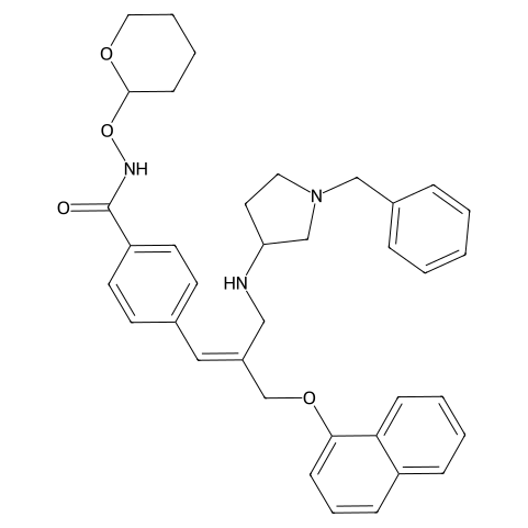 O=C(NOC1CCCCO1)c1ccc(/C=C(\CNC2CCN(Cc3ccccc3)C2)COc2cccc3ccccc23)cc1